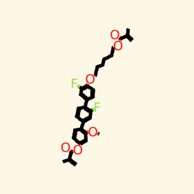 C=C(C)C(=O)OCCCCCCOc1ccc(-c2ccc(-c3ccc(OC(=O)C(=C)C)cc3OC)cc2F)cc1F